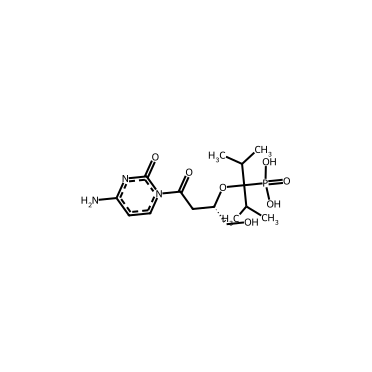 CC(C)C(O[C@H](CO)CC(=O)n1ccc(N)nc1=O)(C(C)C)P(=O)(O)O